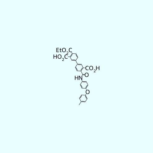 CCOC(=O)c1ccc(-c2ccc(C(=O)Nc3ccc(Oc4ccc(C)cc4)cc3)c(C(=O)O)c2)cc1C(=O)O